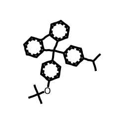 CC(C)c1ccc(C2(c3ccc(OC(C)(C)C)cc3)c3ccccc3-c3ccccc32)cc1